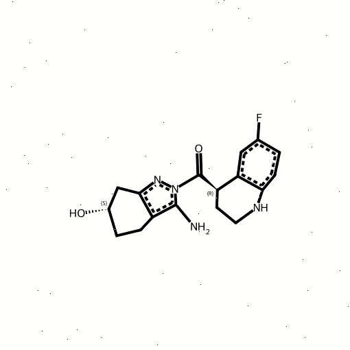 Nc1c2c(nn1C(=O)[C@@H]1CCNc3ccc(F)cc31)C[C@@H](O)CC2